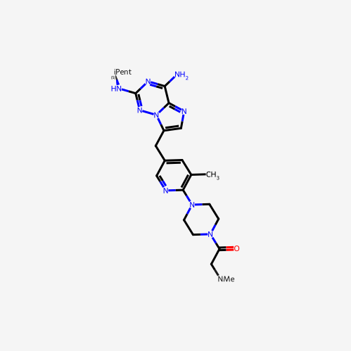 CCC[C@H](C)Nc1nc(N)c2ncc(Cc3cnc(N4CCN(C(=O)CNC)CC4)c(C)c3)n2n1